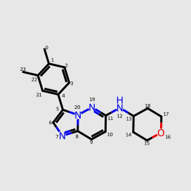 Cc1ccc(-c2cnc3ccc(NC4CCOCC4)nn23)cc1C